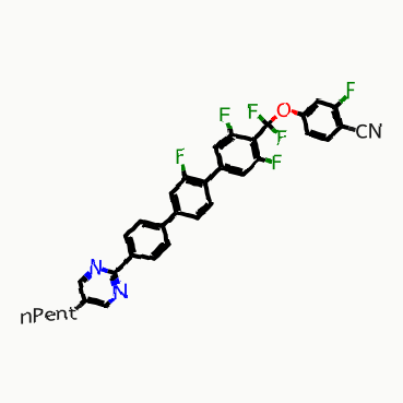 CCCCCc1cnc(-c2ccc(-c3ccc(-c4cc(F)c(C(F)(F)Oc5ccc(C#N)c(F)c5)c(F)c4)c(F)c3)cc2)nc1